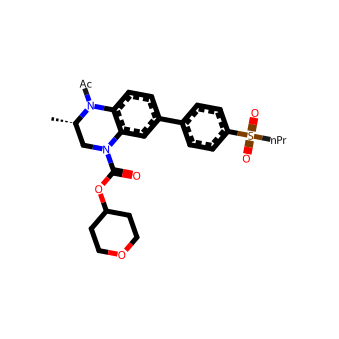 CCCS(=O)(=O)c1ccc(-c2ccc3c(c2)N(C(=O)OC2CCOCC2)C[C@H](C)N3C(C)=O)cc1